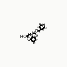 O=C(O)CN(CC(=O)OCc1ccncc1)c1ccccc1